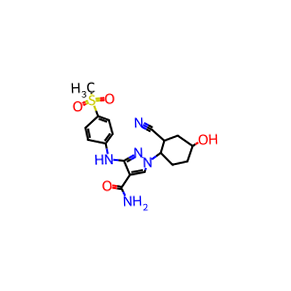 CS(=O)(=O)c1ccc(Nc2nn(C3CCC(O)CC3C#N)cc2C(N)=O)cc1